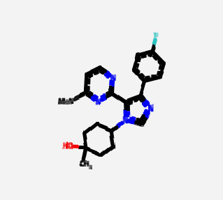 CNc1ccnc(-c2c(-c3ccc(F)cc3)ncn2C2CCC(C)(O)CC2)n1